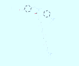 COc1ccc(CN(Cc2ccc(N(C)C)cc2)C(=O)OCCOCCOCCOCCN(C)C)cc1